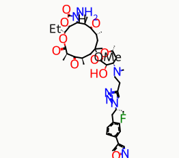 CC[C@H]1OC(=O)[C@H](C)C(=O)[C@H](C)[C@@H](O[C@@H]2O[C@H](C)C[C@H](N(C)CCc3cn([C@H](CF)Cc4ccc(-c5cnoc5)cc4)nn3)[C@H]2O)[C@](C)(OC)C[C@@H](C)C(=O)[C@H](C)[C@H]2N(N)C(=O)O[C@]12C